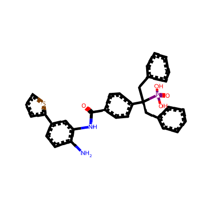 Nc1ccc(-c2cccs2)cc1NC(=O)c1ccc(C(Cc2ccccc2)(Cc2ccccc2)P(=O)(O)O)cc1